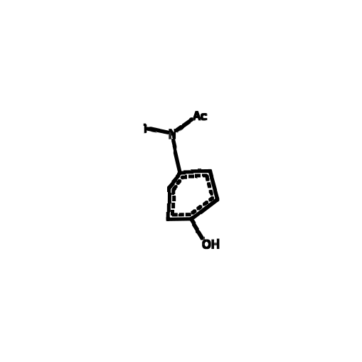 CC(=O)N(I)c1ccc(O)cc1